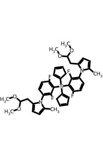 COC(Cc1ccc(C)n1-c1ccc(F)[c]([Ti]([C]2=CC=CC2)([C]2=CC=CC2)[c]2c(F)ccc(-n3c(C)ccc3CC(OC)OC)c2F)c1F)OC